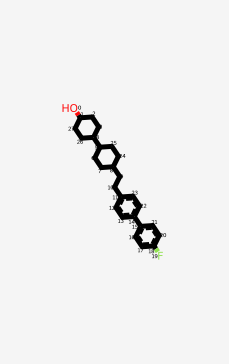 OC1CCC(C2CCC(CCc3ccc(-c4ccc(F)cc4)cc3)CC2)CC1